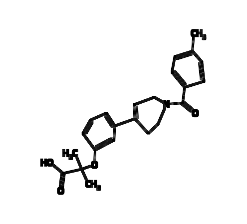 Cc1ccc(C(=O)N2CC=C(c3cccc(OC(C)(C)C(=O)O)c3)CC2)cc1